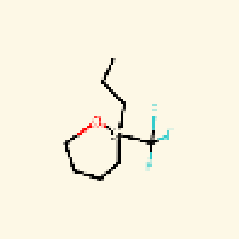 CCC[Si]1(C(F)(F)F)CCCCO1